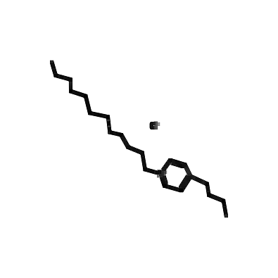 CCCCCCCCCCCC[n+]1ccc(CCCC)cc1.[Cl-]